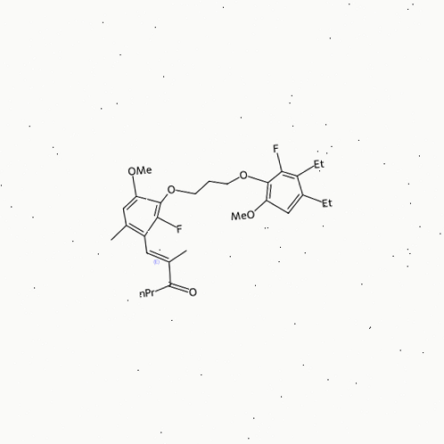 CCCC(=O)/C(C)=C/c1c(C)cc(OC)c(OCCCOc2c(OC)cc(CC)c(CC)c2F)c1F